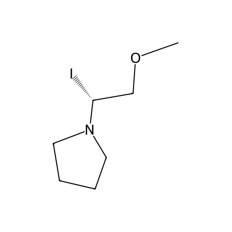 COC[C@@H](I)N1CCCC1